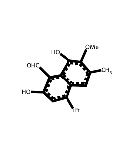 COc1c(C)cc2c(C(C)C)cc(O)c(C=O)c2c1O